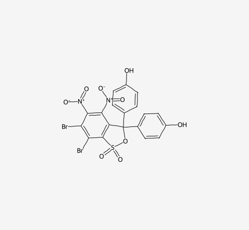 O=[N+]([O-])c1c(Br)c(Br)c2c(c1[N+](=O)[O-])C(c1ccc(O)cc1)(c1ccc(O)cc1)OS2(=O)=O